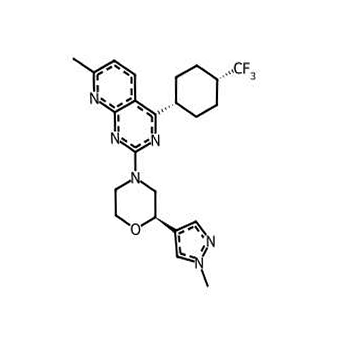 Cc1ccc2c(n1)nc(N1CCO[C@H](c3cnn(C)c3)C1)nc2[C@H]1CC[C@@H](C(F)(F)F)CC1